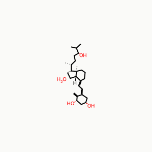 C=C1/C(=C\C=C2/CCC[C@]3(C)[C@@H]([C@H](C)CC[C@@H](O)C(C)C)CC[C@@H]23)C[C@@H](O)C[C@@H]1O.O